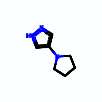 c1n[nH]cc1N1CCCC1